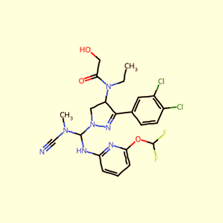 CCN(C(=O)CO)C1CN(C(Nc2cccc(OC(F)F)n2)N(C)C#N)N=C1c1ccc(Cl)c(Cl)c1